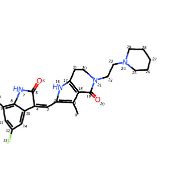 Cc1c(C=C2C(=O)Nc3c(Br)cc(F)cc32)[nH]c2c1C(=O)N(CCN1CCCCC1)CC2